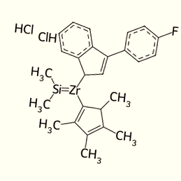 CC1=C(C)C(C)[C]([Zr]([CH]2C=C(c3ccc(F)cc3)c3ccccc32)=[Si](C)C)=C1C.Cl.Cl